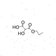 CCCOC(=O)C(O)C(=O)O